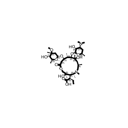 CC[C@@H](C(=O)O)[C@@H]1[C@@H](C)N(C)C[C@H](C)C[C@@](C)(O)[C@H](O[C@@H]2O[C@H](C)C[C@H](N(C)C)[C@H]2O)[C@@H](C)[C@H](O[C@H]2C[C@@](C)(OC)[C@@H](O)[C@H](C)O2)[C@@H](C)C(=O)OC[C@]1(C)O